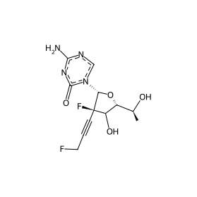 C[C@H](O)[C@H]1O[C@@H](n2cnc(N)nc2=O)[C@@](F)(C#CCF)C1O